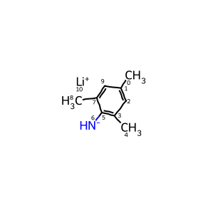 Cc1cc(C)c([NH-])c(C)c1.[Li+]